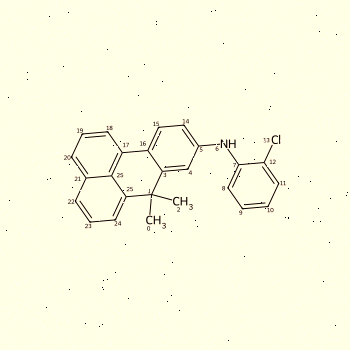 CC1(C)c2cc(Nc3ccccc3Cl)ccc2-c2cccc3cccc1c23